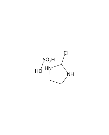 ClC1NCCN1.O=S(=O)(O)O